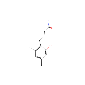 Cc1cc(C)c(CCCC(N)=O)c(O)c1